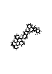 c1ccc2c(-c3c4ccccc4c(-c4ccc5cc(-c6cc7c8ccccc8sc7c7ccccc67)ccc5c4)c4ccccc34)cccc2c1